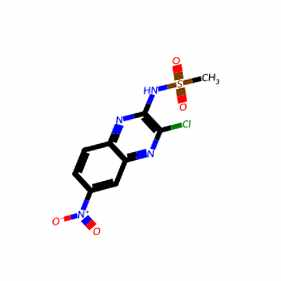 CS(=O)(=O)Nc1nc2ccc([N+](=O)[O-])cc2nc1Cl